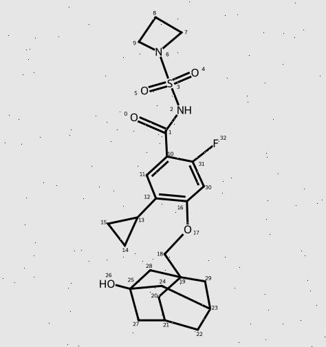 O=C(NS(=O)(=O)N1CCC1)c1cc(C2CC2)c(OCC23CC4CC(CC(O)(C4)C2)C3)cc1F